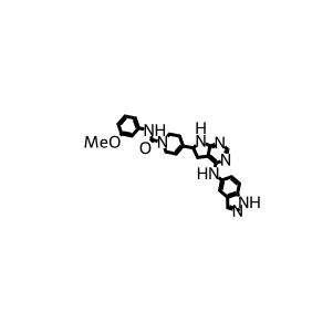 COc1cccc(NC(=O)N2CC=C(C3Cc4c(Nc5ccc6[nH]ncc6c5)ncnc4N3)CC2)c1